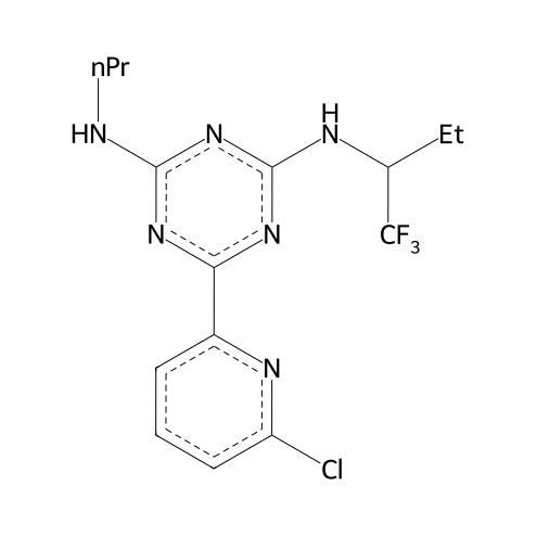 CCCNc1nc(NC(CC)C(F)(F)F)nc(-c2cccc(Cl)n2)n1